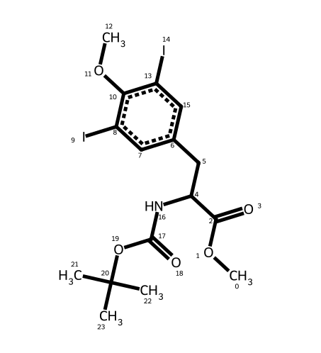 COC(=O)C(Cc1cc(I)c(OC)c(I)c1)NC(=O)OC(C)(C)C